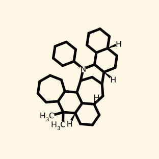 CC1(C)C2CCCCCC2C2C3[C@@H](CCC[C@@H]31)CC1CC2N(C2CCCCC2)C2C3CCCC[C@@H]3CC[C@H]12